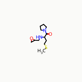 CSCCC(NCC1CO1)C(=O)N1CCCC1